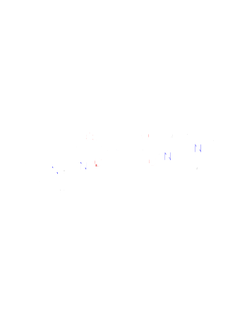 CCCN1CCN(OC(=O)/C=C/C(=O)ON2CCN(CCC)CC2)CC1